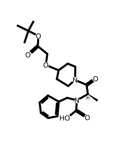 C[C@H](C(=O)N1CCC(OCC(=O)OC(C)(C)C)CC1)N(Cc1ccccc1)C(=O)O